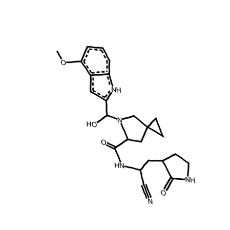 COc1cccc2[nH]c(C(O)N3CC4(CC4)CC3C(=O)NC(C#N)CC3CCNC3=O)cc12